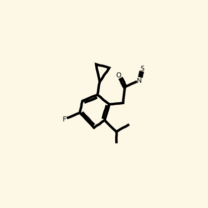 CC(C)c1cc(F)cc(C2CC2)c1CC(=O)N=S